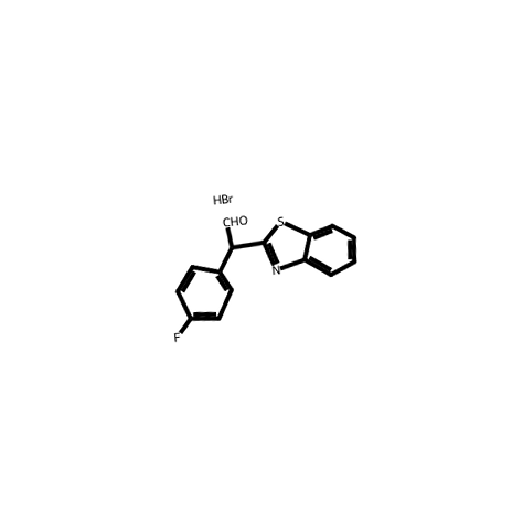 Br.O=CC(c1ccc(F)cc1)c1nc2ccccc2s1